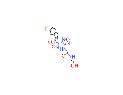 O=C(CNc1nonc1-c1noc(=O)n1[C@H]1Cc2ccc(F)cc21)NCCO